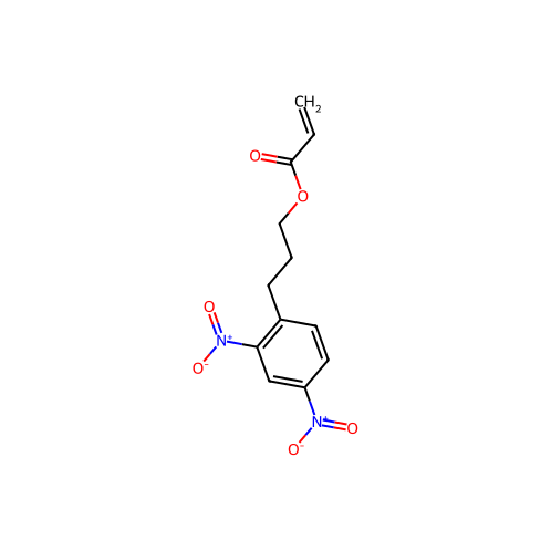 C=CC(=O)OCCCc1ccc([N+](=O)[O-])cc1[N+](=O)[O-]